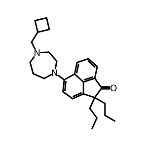 CCCC1(CCC)C(=O)c2cccc3c(N4CCCN(CC5CCC5)CC4)ccc1c23